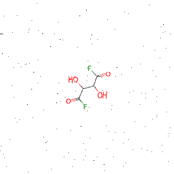 O=C(F)C(O)C(O)C(=O)F